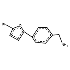 NCc1ccc(-c2ccc(Br)o2)cc1